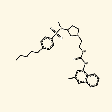 CCCCCc1ccc(S(=O)(=O)N(C)C2CCN(CCNC(=O)Nc3cc(C)nc4ccccc34)C2)cc1